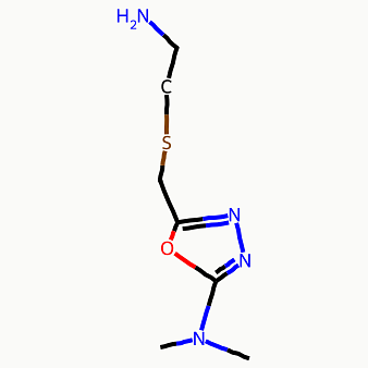 CN(C)c1nnc(CSCCN)o1